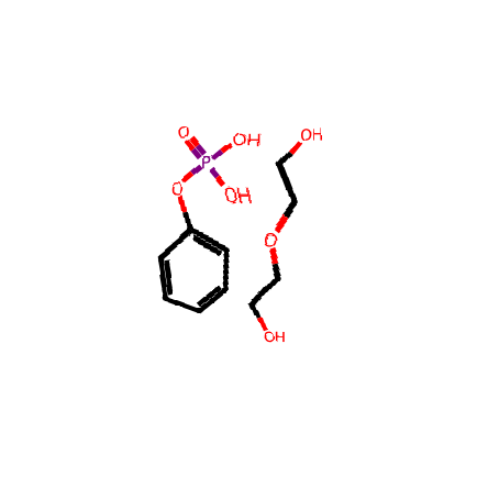 O=P(O)(O)Oc1ccccc1.OCCOCCO